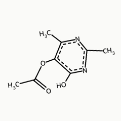 CC(=O)Oc1c(C)nc(C)nc1O